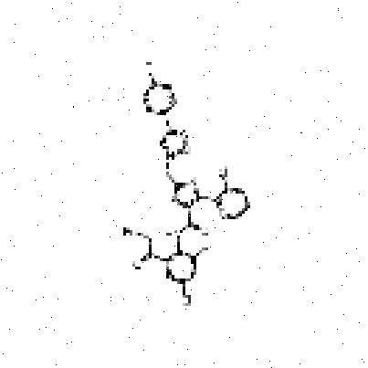 Cc1cc(Cl)cc(C(=O)NC(C)(C)C)c1NC(=O)c1cc(Cn2cc(-c3ccc(F)cc3)nn2)nn1-c1ncccc1Cl